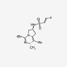 C[C@@H]1N=C(C(C)(C)C)N2C[C@@H](NS(=O)(=O)/C=C/F)CC2=C1C(C)(C)C